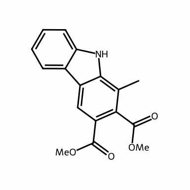 COC(=O)c1cc2c([nH]c3ccccc32)c(C)c1C(=O)OC